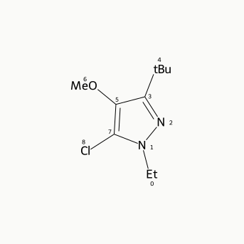 CCn1nc(C(C)(C)C)c(OC)c1Cl